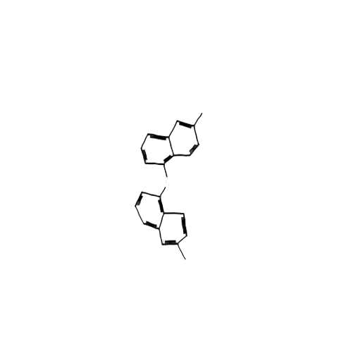 Cc1ccc2c(Oc3cccc4cc(C)ccc34)cccc2c1